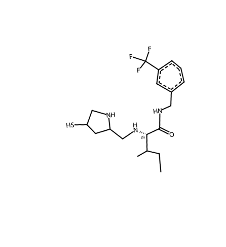 CCC(C)[C@H](NCC1CC(S)CN1)C(=O)NCc1cccc(C(F)(F)F)c1